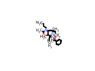 CCCCN(C(C)=O)C1CC(C)(CC)N(OC(C)c2ccccc2)C(C)(CC)C1C